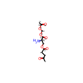 CC(=O)CCC(=O)OC[C@@H](N)C(=O)OCOC(C)=O